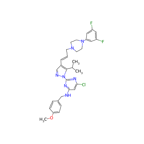 COc1ccc(CNc2cc(Cl)nc(-n3ncc(C=CCN4CCN(c5cc(F)cc(F)c5)CC4)c3C(C)C)n2)cc1